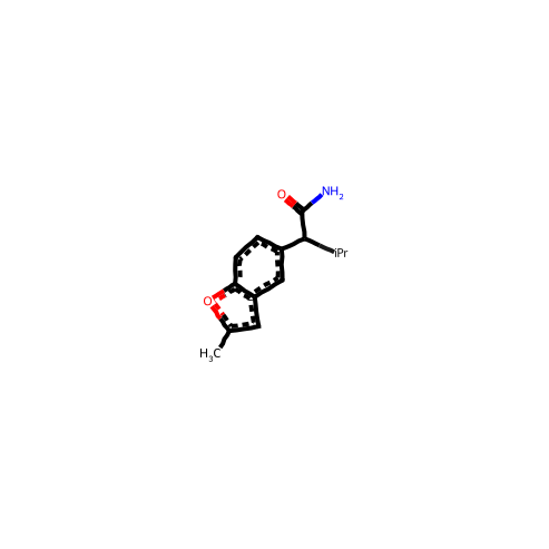 Cc1cc2cc(C(C(N)=O)C(C)C)ccc2o1